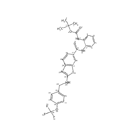 CC(C)(C)OC(=O)Nc1ccccc1NC(=O)c1ccc2nc(NCc3ccc(OC(F)(F)F)cc3)sc2c1